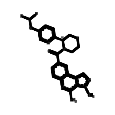 Cn1ncc2c3cc(C(=O)N4CCOC[C@@H]4c4ccc(OC(F)F)cn4)ccc3nc(N)c21